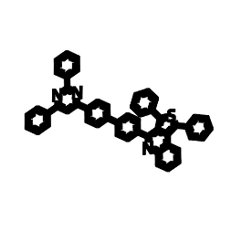 c1ccc(-c2cc(-c3ccc(-c4ccc(-c5nc6ccccc6c6c(-c7ccccc7)sc(-c7ccccc7)c56)cc4)cc3)nc(-c3ccccc3)n2)cc1